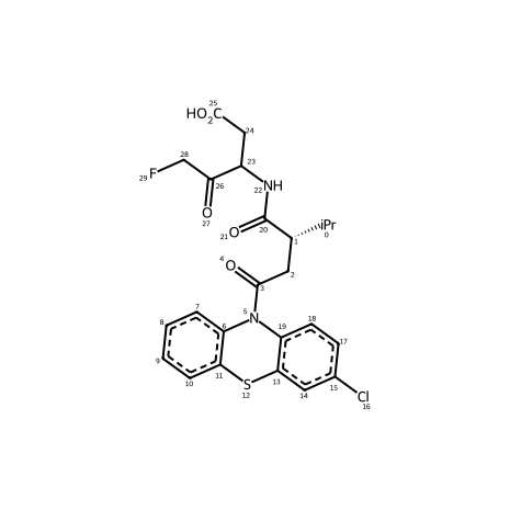 CC(C)[C@H](CC(=O)N1c2ccccc2Sc2cc(Cl)ccc21)C(=O)NC(CC(=O)O)C(=O)CF